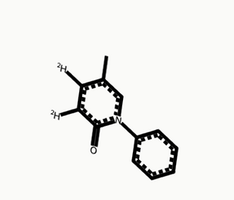 [2H]c1c(C)cn(-c2ccccc2)c(=O)c1[2H]